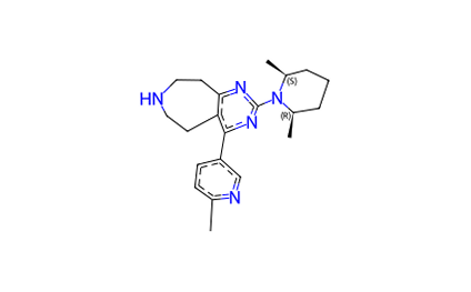 Cc1ccc(-c2nc(N3[C@H](C)CCC[C@@H]3C)nc3c2CCNCC3)cn1